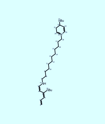 C=C/C=C(\C=C/NCCCCCCCCCCCC[N+]1=CCC(CCCC)C=C1)CCCC